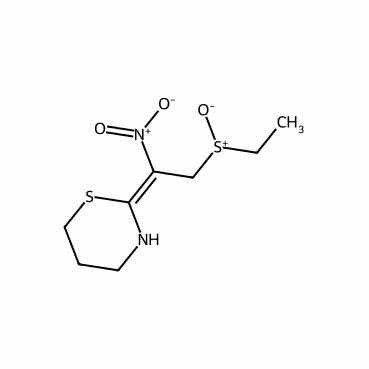 CC[S+]([O-])CC(=C1NCCCS1)[N+](=O)[O-]